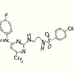 Cc1cc(Nc2ccc(F)cc2)nc(NCCNS(=O)(=O)c2ccc(O)cc2)n1